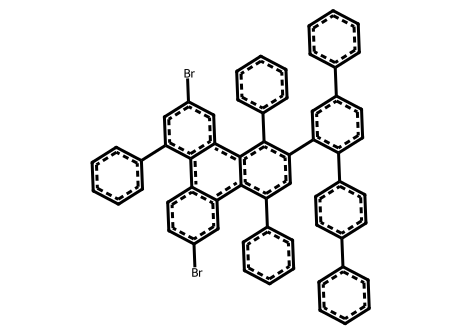 Brc1ccc2c(c1)c1c(-c3ccccc3)cc(-c3cc(-c4ccccc4)ccc3-c3ccc(-c4ccccc4)cc3)c(-c3ccccc3)c1c1cc(Br)cc(-c3ccccc3)c21